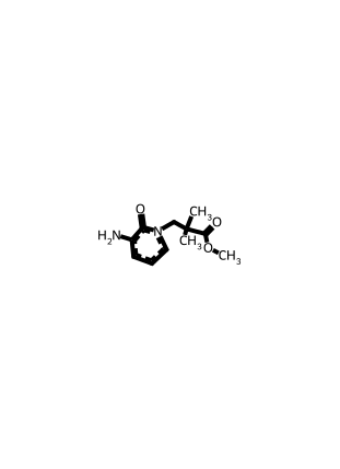 COC(=O)C(C)(C)Cn1cccc(N)c1=O